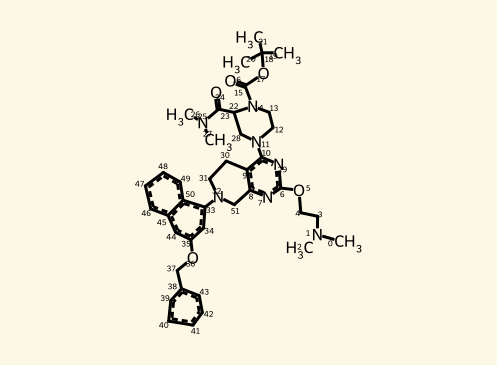 CN(C)CCOc1nc2c(c(N3CCN(C(=O)OC(C)(C)C)C(C(=O)N(C)C)C3)n1)CCN(c1cc(OCc3ccccc3)cc3ccccc13)C2